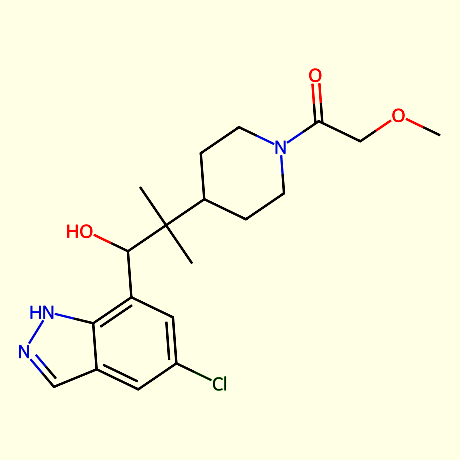 COCC(=O)N1CCC(C(C)(C)C(O)c2cc(Cl)cc3cn[nH]c23)CC1